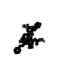 CC(=O)Oc1cc(O)c2c3c1O[C@@H]1[C@@H](N(CC(C)C)C(=O)C=Cc4ccoc4)CC[C@H]4[C@@H](C2)N(CCc2ccccc2)CC[C@]314